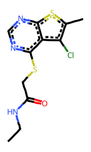 CCNC(=O)CSc1ncnc2sc(C)c(Cl)c12